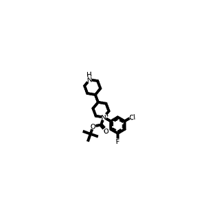 CC(C)(C)OC(=O)[N+]1(c2cc(F)cc(Cl)c2)CCC(C2CCNCC2)CC1